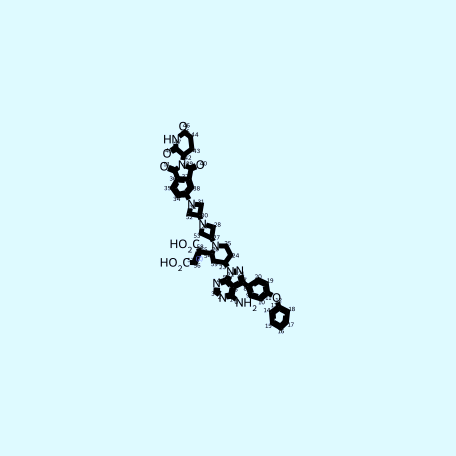 Nc1ncnc2c1c(-c1ccc(Oc3ccccc3)cc1)nn2C1CCN(C2CN(C3CN(c4ccc5c(c4)C(=O)N(C4CCC(=O)NC4=O)C5=O)C3)C2)C(/C(=C/C(=O)O)C(=O)O)C1